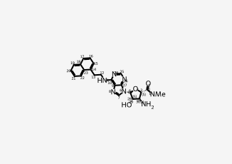 CNC(=O)[C@H]1O[C@@H](n2cnc3c(NCCc4cccc5ccccc45)ncnc32)[C@@H](O)[C@@H]1N